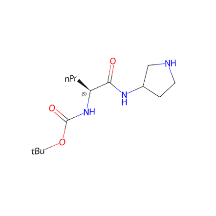 CCC[C@H](NC(=O)OC(C)(C)C)C(=O)NC1CCNC1